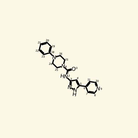 O=C(Nc1cc(-c2ccncc2)[nH]n1)N1CCN(c2ccccc2)CC1